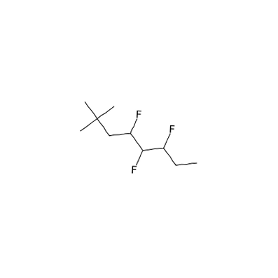 CCC(F)C(F)C(F)CC(C)(C)C